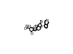 CO[C@@H]1C[C@H]2[C@@H]3OC4=C(C=C3CC[C@]2(C)[C@H]1c1cccc2cnccc12)C(=O)CC(C(N)=O)C4